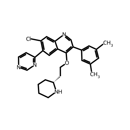 Cc1cc(C)cc(-c2cnc3cc(Cl)c(-c4ccncn4)cc3c2OCC[C@H]2CCCCN2)c1